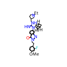 CCN1CCC(CNC(=N)N(c2ccc3c(=O)n(CCc4ccc(OC)cc4F)cnc3c2)C2C[C@@H]3C[C@H]([C@@H]2C)C3(C)C)C1